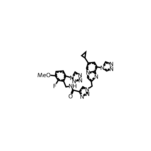 COc1ccc(-n2cnnn2)c(CNC(=O)c2cn(Cc3cn4cc(C5CC5)cc(-n5cnnc5)c4n3)nn2)c1F